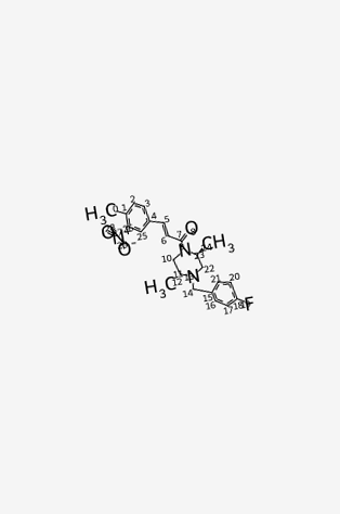 Cc1ccc(C=CC(=O)N2C[C@@H](C)N(Cc3ccc(F)cc3)C[C@@H]2C)cc1[N+](=O)[O-]